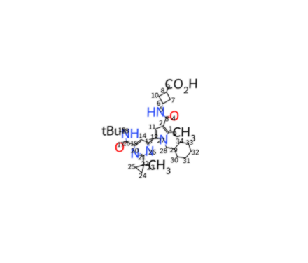 Cc1c(C(=O)N[C@H]2C[C@H](C(=O)O)C2)cc(-c2cc(C(=O)NC(C)(C)C)nc(C3(C)CC3)n2)n1CC1CCCCC1